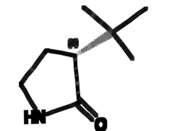 CC(C)(C)[C@H]1CCNC1=O